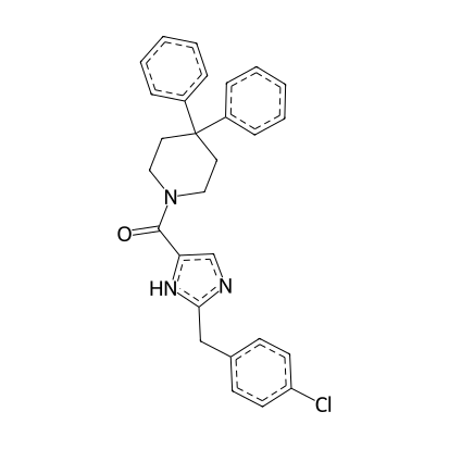 O=C(c1cnc(Cc2ccc(Cl)cc2)[nH]1)N1CCC(c2ccccc2)(c2ccccc2)CC1